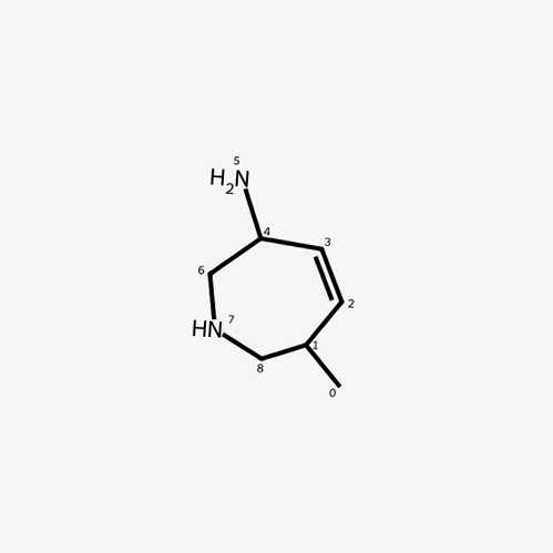 CC1C=CC(N)CNC1